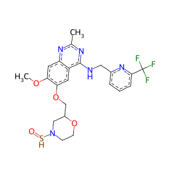 COc1cc2nc(C)nc(NCc3cccc(C(F)(F)F)n3)c2cc1OCC1CN([SH]=O)CCO1